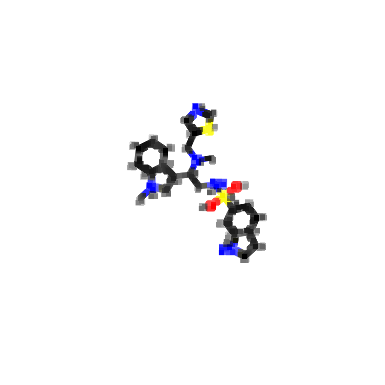 CN(Cc1cncs1)C(CNS(=O)(=O)c1ccc2cc[nH]c2c1)c1cn(C)c2ccccc12